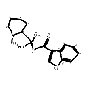 CN1CCCCC1C(C)(C)OC(=O)c1c[nH]c2ccccc12